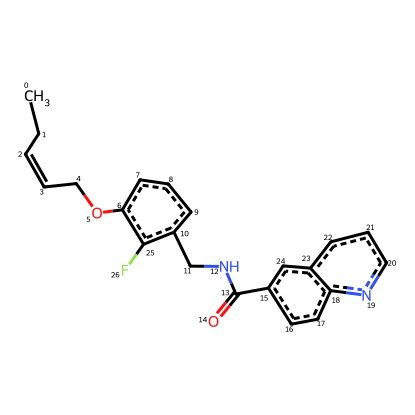 CC/C=C\COc1cccc(CNC(=O)c2ccc3ncccc3c2)c1F